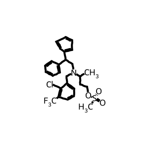 CC(CCOS(C)(=O)=O)N(Cc1cccc(C(F)(F)F)c1Cl)CC(c1ccccc1)c1ccccc1